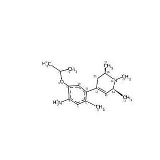 Cc1cc(N)c(OC(C)C)cc1C1=C[C@H](C)N(C)[C@H](C)C1